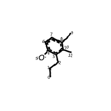 CCCc1c([O])ccc(C)c1C